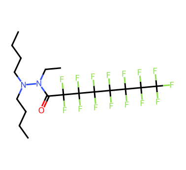 CCCCN(CCCC)N(CC)C(=O)C(F)(F)C(F)(F)C(F)(F)C(F)(F)C(F)(F)C(F)(F)C(F)(F)F